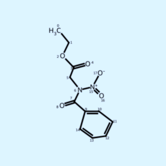 CCOC(=O)CN(C(=O)c1ccccc1)[N+](=O)[O-]